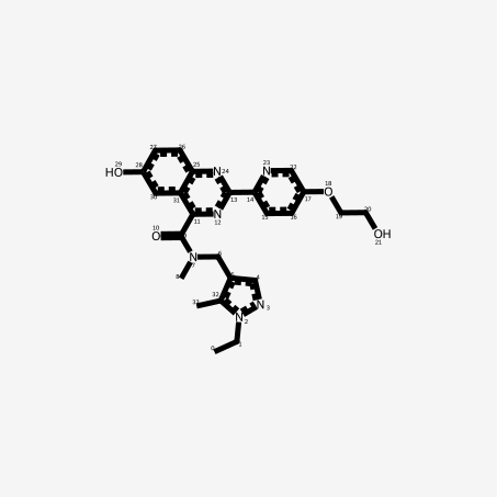 CCn1ncc(CN(C)C(=O)c2nc(-c3ccc(OCCO)cn3)nc3ccc(O)cc23)c1C